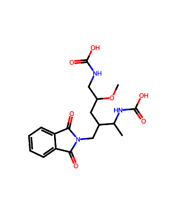 COC(CNC(=O)O)CC(CN1C(=O)c2ccccc2C1=O)C(C)NC(=O)O